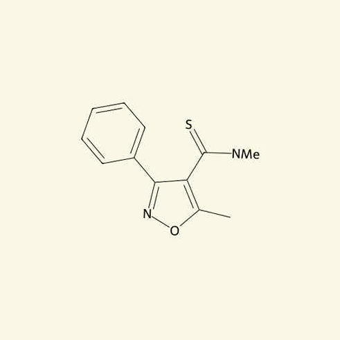 CNC(=S)c1c(-c2ccccc2)noc1C